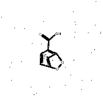 Cc1c2ccc(C(=O)O)c1OO2